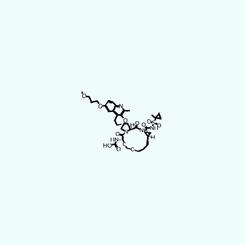 COCCCOc1ccc2nc(C)c3c(c2c1)CC[C@]1(C[C@H]2C(=O)N[C@]4(C(=O)NS(=O)(=O)C5(C)CC5)C[C@H]4/C=C\CCCCC[C@H](NC(=O)O)C(=O)N2C1)O3